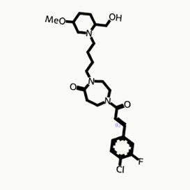 COC1CCC(CO)N(CCCCN2CCN(C(=O)/C=C/c3ccc(Cl)c(F)c3)CCC2=O)C1